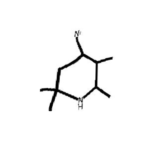 CC1NC(C)(C)CC([N])C1C